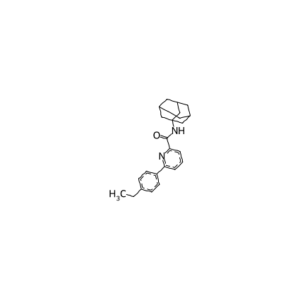 CCc1ccc(-c2cccc(C(=O)NC34CC5CC(CC(C5)C3)C4)n2)cc1